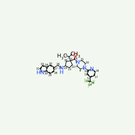 CC(C)C1(C(=O)N2CCN(c3cc(C(F)(F)F)ccn3)CC2)CCC(NCc2ccc3[nH]ccc3c2)C1